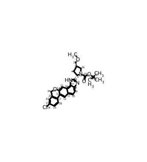 COC[C@@H]1C[C@@H](c2nc3ccc4cc5c(cc4c3[nH]2)OCc2cc(Cl)ccc2-5)N(C(=O)OC(C)(C)C)C1